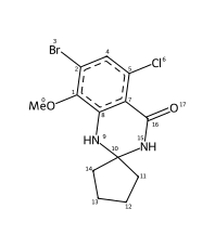 COc1c(Br)cc(Cl)c2c1NC1(CCCC1)NC2=O